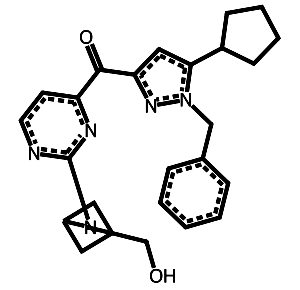 O=C(c1ccnc(N2CC3(CO)CC2C3)n1)c1cc(C2CCCC2)n(Cc2ccccc2)n1